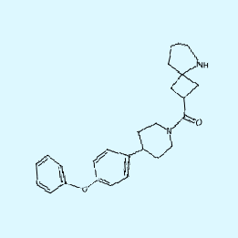 O=C(C1CC2(CCCN2)C1)N1CCC(c2ccc(Oc3ccccc3)cc2)CC1